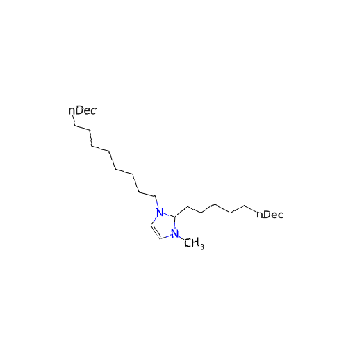 CCCCCCCCCCCCCCCCCCN1C=CN(C)C1CCCCCCCCCCCCCCC